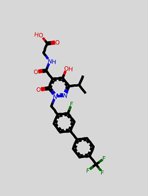 CC(C)c1nn(Cc2ccc(-c3ccc(C(F)(F)F)cc3)cc2F)c(=O)c(C(=O)NCC(=O)O)c1O